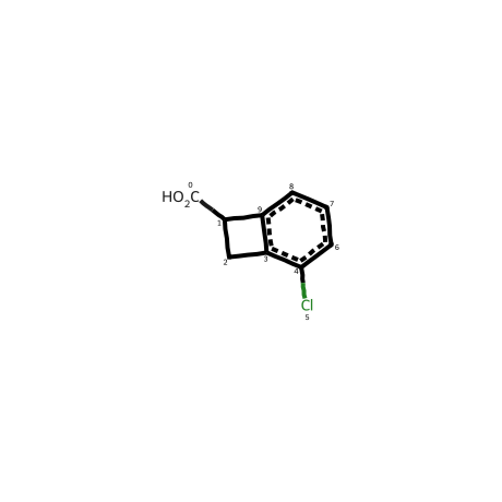 O=C(O)C1Cc2c(Cl)cccc21